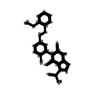 O=C(O)c1scc2[nH]c(=O)n(-c3cc(OCc4ccccc4CO)ccc3Cl)c(=O)c12